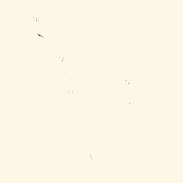 CCC(N1CCC[C@H](C(N)=O)C1)S(=O)(=O)c1ccc2c(c1)nc(C(C)(C)C)n2CC1CCC(F)(F)CC1